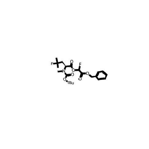 CN(C(=O)OC(C)(C)C)[C@@H](CC(C)(C)F)C(=O)OC(F)C(=O)OCc1ccccc1